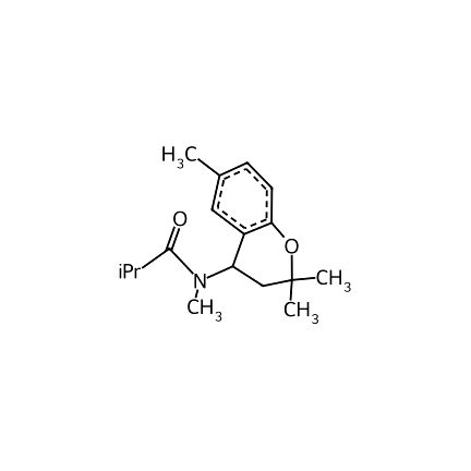 Cc1ccc2c(c1)C(N(C)C(=O)C(C)C)CC(C)(C)O2